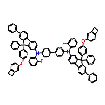 Fc1ccccc1N(c1ccc(-c2ccc(N(c3ccc4c(c3)C(c3ccccc3)(c3ccc(Oc5ccc6c(c5)CC6)cc3)c3cc(-c5ccccc5)ccc3-4)c3ccccc3F)cc2)cc1)c1ccc2c(c1)C(c1ccccc1)(c1ccc(Oc3ccc4c(c3)CC4)cc1)c1cc(-c3ccccc3)ccc1-2